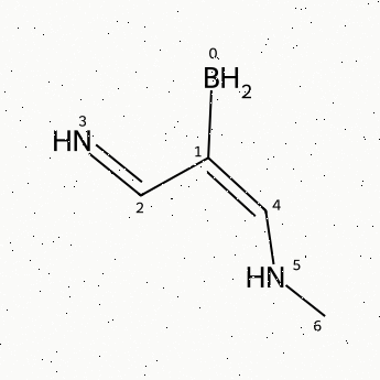 B/C(C=N)=C/NC